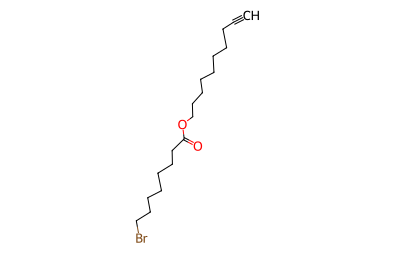 C#CCCCCCCCCOC(=O)CCCCCCCBr